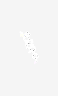 CCNC12CCCC1C1CCC3C4(C)CC=C(C5=CCC(CF)CC5)C(C)C4CCC3(C)C1CC2